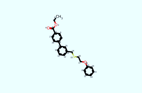 CCOC(=O)c1ccc(-c2cccc(CSCCOc3ccccc3)c2)cc1